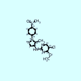 COc1nc(Nc2cnn(-c3ccc([S+](C)[O-])cc3)c2C)ncc1Cl